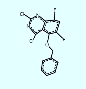 Fc1cc(F)c2nc(Cl)nc(Cl)c2c1OCc1ccccc1